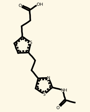 CC(=O)Nc1nc(CCc2ccc(CCC(=O)O)s2)cs1